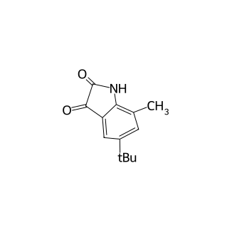 Cc1cc(C(C)(C)C)cc2c1NC(=O)C2=O